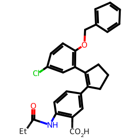 CCC(=O)Nc1ccc(C2=C(c3cc(Cl)ccc3OCc3ccccc3)CCC2)cc1C(=O)O